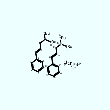 CC(C)(C)P(CC=Cc1ccccc1)C(C)(C)C.CC(C)(C)P(CC=Cc1ccccc1)C(C)(C)C.[Cl-].[Cl-].[Pd+2]